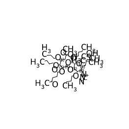 CCCCOCC1O[C@@H](CC(C)(C)[Si](C)(C)O)[C@@H](N=[N+]=[N-])C(OCCCC)[C@@H]1O[C@@H]1OC(C(=O)OC)[C@@H](OCCCC)C(OCCCC)[C@@H]1OC(=O)CCC(C)=O